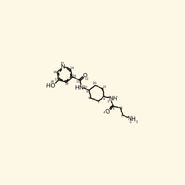 NCCC(=O)NC1CCC(NC(=O)c2cncc(O)c2)CC1